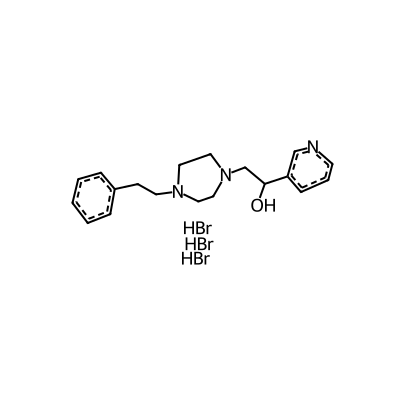 Br.Br.Br.OC(CN1CCN(CCc2ccccc2)CC1)c1cccnc1